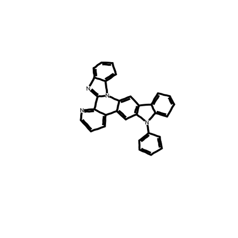 c1ccc(-n2c3ccccc3c3cc4c(cc32)c2cccnc2c2nc3ccccc3n42)cc1